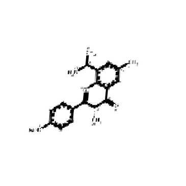 COc1ccc(C2=Nc3c(cc(C)cc3C(C)N)C(=O)[C@@H]2C)cc1